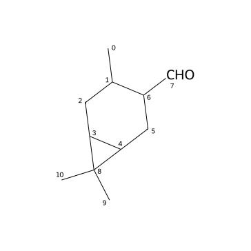 CC1CC2C(CC1C=O)C2(C)C